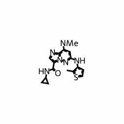 CNc1cc(Nc2ccsc2C)nn2c(C(=O)NC3CC3)cnc12